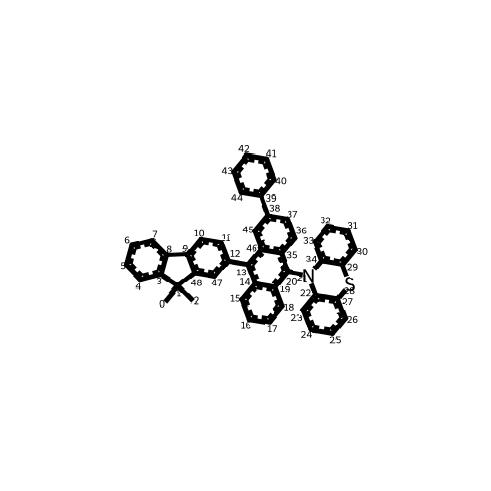 CC1(C)c2ccccc2-c2ccc(-c3c4ccccc4c(N4c5ccccc5Sc5ccccc54)c4ccc(-c5ccccc5)cc34)cc21